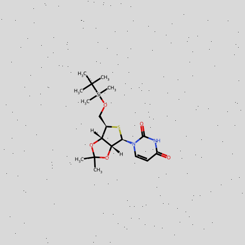 CC1(C)O[C@@H]2[C@H](O1)[C@@H](CO[Si](C)(C)C(C)(C)C)S[C@H]2n1ccc(=O)[nH]c1=O